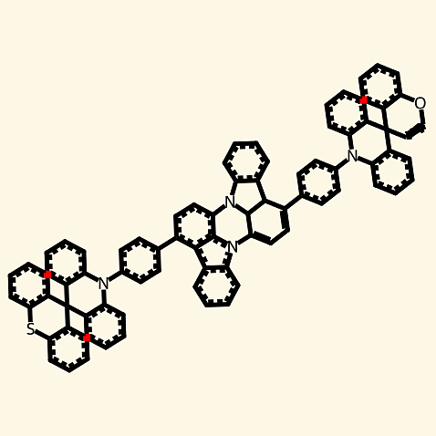 C1=C(c2ccc(N3c4ccccc4C4(c5ccccc5Oc5ccccc54)c4ccccc43)cc2)C2c3ccccc3N3c4ccc(-c5ccc(N6c7ccccc7C7(c8ccccc8Sc8ccccc87)c7ccccc76)cc5)c5c6ccccc6n(c45)C(=C1)C23